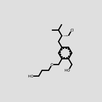 CC(C)[C@H](CCl)Cc1ccc(CO)c(COCCCO)c1